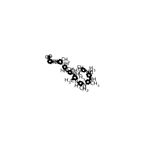 COc1ccc(Nc2ccc(Nc3ccc(Nc4ccc(Nc5ccc(Nc6ccc(Nc7ccc(Nc8ccc(NNc9cccc([N+](=O)[O-])c9)cc8C)cc7C)cc6C)cc5C)cc4C)cc3C)cc2C)cc1C